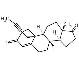 CC#CC[C@]12CCC(=O)C=C1CC[C@@H]1[C@@H]2CC[C@]2(C)C(=O)CC[C@@H]12